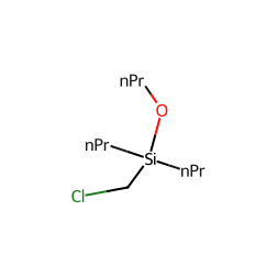 CCCO[Si](CCl)(CCC)CCC